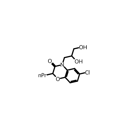 CCCC1Oc2ccc(Cl)cc2N(CC(O)CO)C1=O